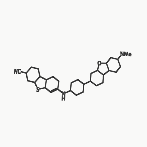 CNC1CCC2C(C1)OC1CC(C3CCC(NC4=CC5SC6CC(C#N)CCC6C5CC4)CC3)CCC12